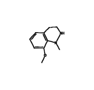 COc1cccc2c1N(C)NCC2